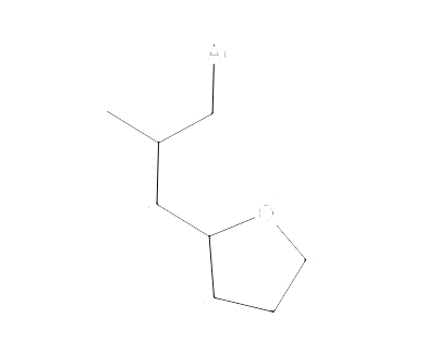 CC(=O)CC(C)CC1CCCO1